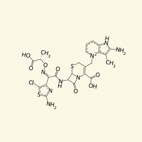 Cc1c(N)[nH]c2ccc[n+](CC3=C(C(=O)O)N4C(=O)C(NC(=O)/C(=N\O[C@@H](C)C(=O)O)c5nc(N)sc5Cl)C4SC3)c12